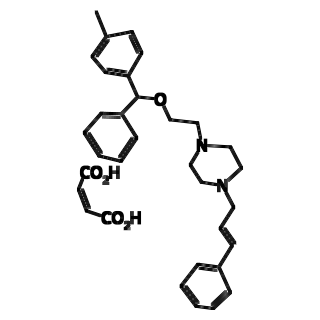 Cc1ccc(C(OCCN2CCN(C/C=C/c3ccccc3)CC2)c2ccccc2)cc1.O=C(O)/C=C\C(=O)O